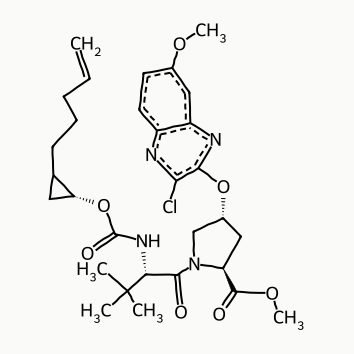 C=CCCCC1C[C@H]1OC(=O)N[C@H](C(=O)N1C[C@H](Oc2nc3cc(OC)ccc3nc2Cl)C[C@H]1C(=O)OC)C(C)(C)C